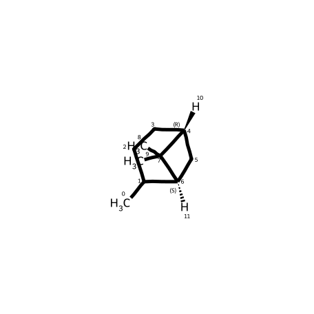 CC1[CH]C[C@@H]2C[C@@H]1C2(C)C